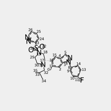 Cc1cc2c(cnn2-c2ccc(F)cc2)cc1[C@H]1CN(S(=O)(=O)c2cccnn2)CCN1CC(C)C